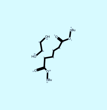 CCCCOC(=O)CCCCC(=O)OCCCC.OCCO